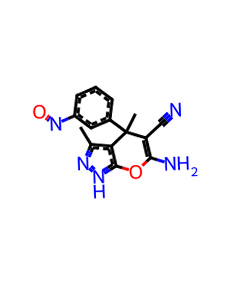 Cc1n[nH]c2c1C(C)(c1cccc(N=O)c1)C(C#N)=C(N)O2